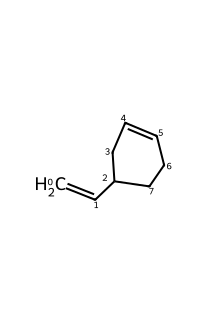 C=CC1CC=CCC1